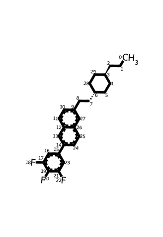 CCC[C@H]1CC[C@H](CCc2ccc3cc(-c4cc(F)c(F)c(F)c4)ccc3c2)CC1